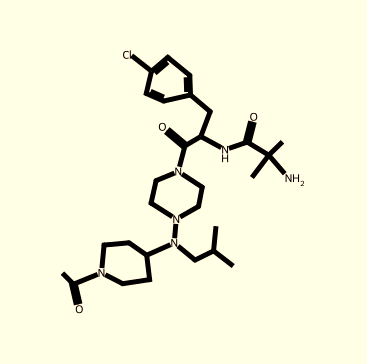 CC(=O)N1CCC(N(CC(C)C)N2CCN(C(=O)C(Cc3ccc(Cl)cc3)NC(=O)C(C)(C)N)CC2)CC1